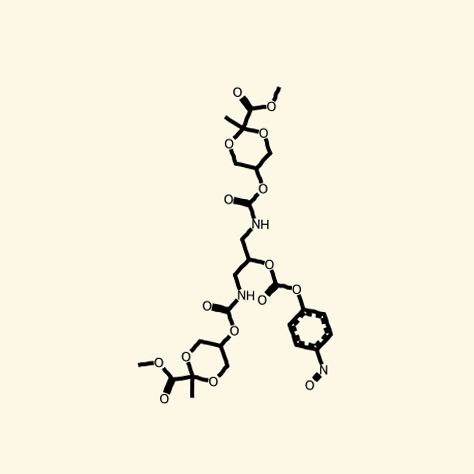 COC(=O)C1(C)OCC(OC(=O)NCC(CNC(=O)OC2COC(C)(C(=O)OC)OC2)OC(=O)Oc2ccc(N=O)cc2)CO1